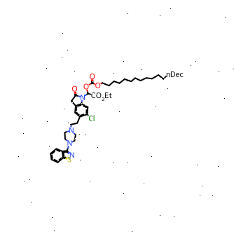 CCCCCCCCCCCCCCCCCCCCCCOC(=O)OC(C(=O)OCC)N1C(=O)Cc2cc(CCN3CCN(c4nsc5ccccc45)CC3)c(Cl)cc21